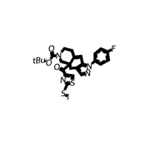 CC(C)(C)OC(=O)N1CCC2=Cc3c(cnn3-c3ccc(F)cc3)CC2(C(=O)c2csc(SI)n2)C1